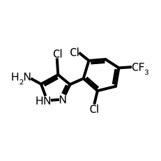 Nc1[nH]nc(-c2c(Cl)cc(C(F)(F)F)cc2Cl)c1Cl